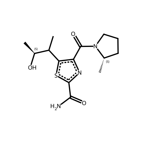 CC(c1sc(C(N)=O)nc1C(=O)N1CCC[C@@H]1C)[C@H](C)O